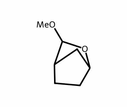 COC1OC2CCC1C2